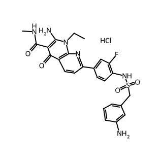 CCn1c(N)c(C(=O)NC)c(=O)c2ccc(-c3ccc(NS(=O)(=O)Cc4cccc(N)c4)c(F)c3)nc21.Cl